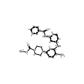 CC(C)(C)OC(=O)N1CCN(c2ccc([N+](=O)[O-])c(Nc3ccnc(NC(=O)c4cccnc4)c3)n2)CC1